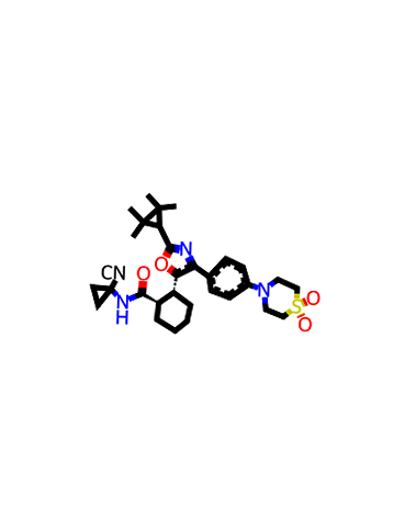 CC1(C)C(c2nc(-c3ccc(N4CCS(=O)(=O)CC4)cc3)c([C@@H]3CCCC[C@H]3C(=O)NC3(C#N)CC3)o2)C1(C)C